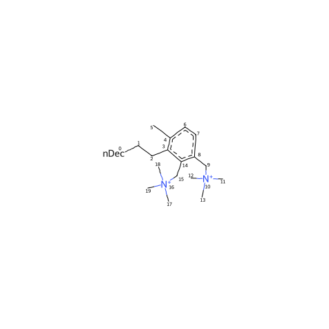 CCCCCCCCCCCCc1c(C)ccc(C[N+](C)(C)C)c1C[N+](C)(C)C